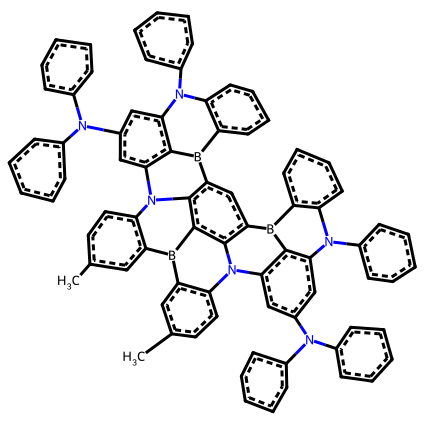 Cc1ccc2c(c1)B1c3cc(C)ccc3N3c4cc(N(c5ccccc5)c5ccccc5)cc5c4B(c4ccccc4N5c4ccccc4)c4cc5c(c1c43)N2c1cc(N(c2ccccc2)c2ccccc2)cc2c1B5c1ccccc1N2c1ccccc1